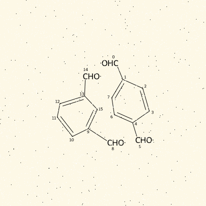 O=[C]c1ccc([C]=O)cc1.O=[C]c1cccc([C]=O)c1